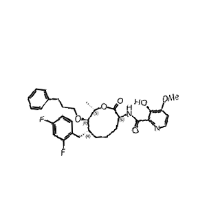 COc1ccnc(C(=O)N[C@H]2CCC[C@H](Cc3ccc(F)cc3F)[C@@H](OCCCc3ccccc3)[C@H](C)OC2=O)c1O